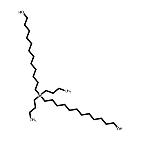 CCC[CH2][Sn]([CH2]CCC)([CH2]CCCCCCCCCCCO)[CH2]CCCCCCCCCCCO